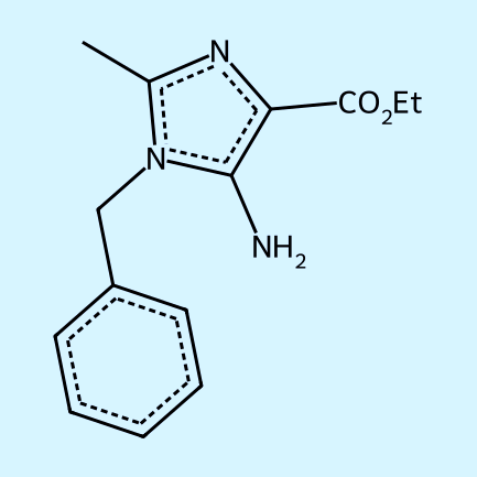 CCOC(=O)c1nc(C)n(Cc2ccccc2)c1N